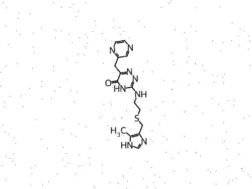 Cc1[nH]cnc1CSCCNc1nnc(Cc2cnccn2)c(=O)[nH]1